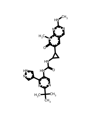 CNc1ncc2cc(C3CC3NC(=O)Nc3cnc(C(C)(C)C)nc3-c3cn[nH]c3)c(=O)n(C)c2n1